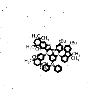 CC(C)(C)c1ccc2c(c1)B1c3sc4cc5c(cc4c3N(c3ccc4c(c3)C(C)(C)CCC4(C)C)c3cc(N(c4ccccc4)c4ccccc4)cc(c31)N2c1cccc2c1-c1ccc(C(C)(C)C)cc1C2(C)C)C(C)(C)CCC5(C)C